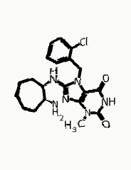 Cn1c(=O)[nH]c(=O)c2c1nc(N[C@@H]1CCCCC[C@@H]1N)n2Cc1ccccc1Cl